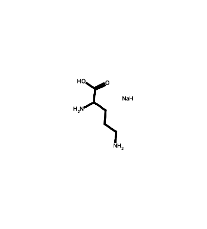 NCCCC(N)C(=O)O.[NaH]